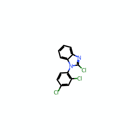 Clc1ccc(-n2c(Cl)nc3ccccc32)c(Cl)c1